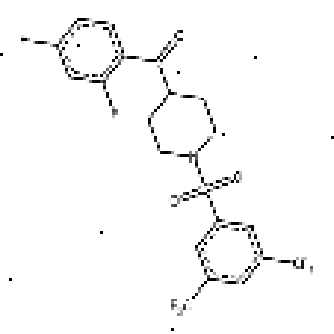 O=C(c1ccc(F)cc1F)C1CCN(S(=O)(=O)c2cc(C(F)(F)F)cc(C(F)(F)F)c2)CC1